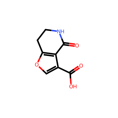 O=C(O)c1coc2c1C(=O)NCC2